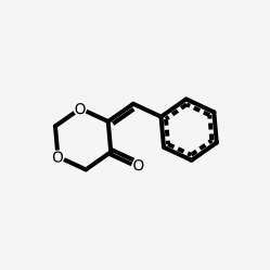 O=C1COCOC1=Cc1ccccc1